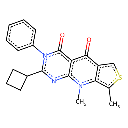 Cc1scc2c(=O)c3c(=O)n(-c4ccccc4)c(C4CCC4)nc3n(C)c12